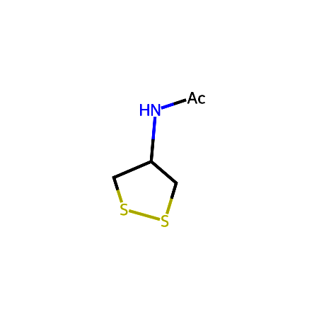 CC(=O)NC1CSSC1